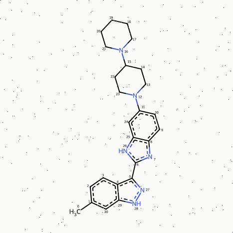 Cc1ccc2c(-c3nc4ccc(N5CCC(N6CCCCC6)CC5)cc4[nH]3)n[nH]c2c1